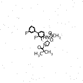 CC(C)C(=O)N1CC[C@@H](NS(C)(=O)=O)[C@H]1Cc1cccc(-c2cccc(F)c2)c1F